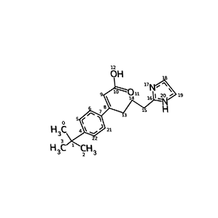 CC(C)(C)c1ccc(C(=CC(=O)O)CCCc2ncc[nH]2)cc1